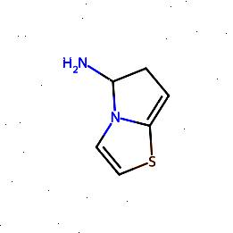 NC1CC=C2SC=CN21